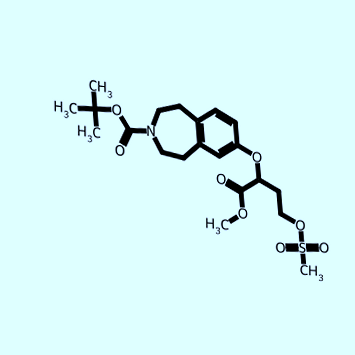 COC(=O)C(CCOS(C)(=O)=O)Oc1ccc2c(c1)CCN(C(=O)OC(C)(C)C)CC2